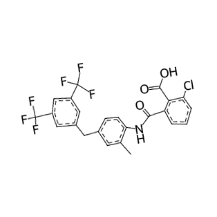 Cc1cc(Cc2cc(C(F)(F)F)cc(C(F)(F)F)c2)ccc1NC(=O)c1cccc(Cl)c1C(=O)O